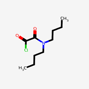 CCCCN(CCCC)C(=O)C(=O)Cl